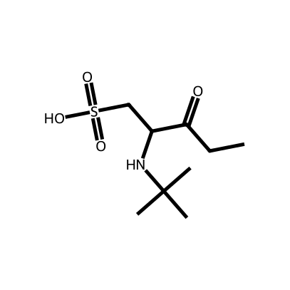 CCC(=O)C(CS(=O)(=O)O)NC(C)(C)C